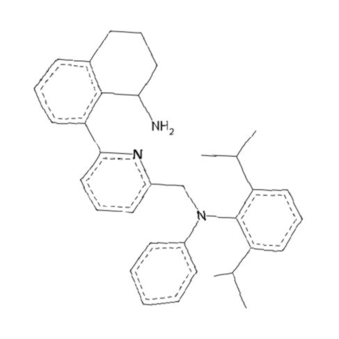 CC(C)c1cccc(C(C)C)c1N(Cc1cccc(-c2cccc3c2C(N)CCC3)n1)c1ccccc1